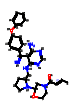 C/C=C/C(=O)N1CCOC(N2CCC[C@H]2CNc2ncnc(N)c2C(=N)c2ccc(Oc3ccccc3)cc2)C1